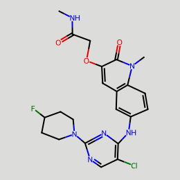 CNC(=O)COc1cc2cc(Nc3nc(N4CCC(F)CC4)ncc3Cl)ccc2n(C)c1=O